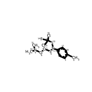 Cc1ccc(N(SOON(C)C)SC(F)(Cl)Cl)cc1